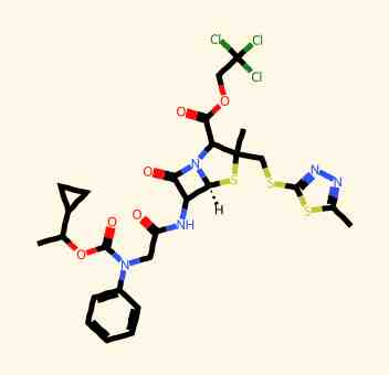 Cc1nnc(SCC2(C)S[C@H]3C(NC(=O)CN(C(=O)OC(C)C4CC4)c4ccccc4)C(=O)N3C2C(=O)OCC(Cl)(Cl)Cl)s1